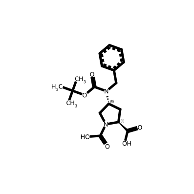 CC(C)(C)OC(=O)N(Cc1ccccc1)[C@@H]1C[C@@H](C(=O)O)N(C(=O)O)C1